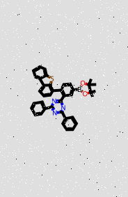 CC1(C)OB(c2ccc(-c3cccc4c3sc3ccccc34)c(-c3nc(-c4ccccc4)nc(-c4ccccc4)n3)c2)OC1(C)C